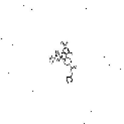 CC(C)(C)OC(=O)N1CCN(C(=O)OCc2ccccc2)CCN1c1c(F)cc([N+](=O)[O-])cc1F